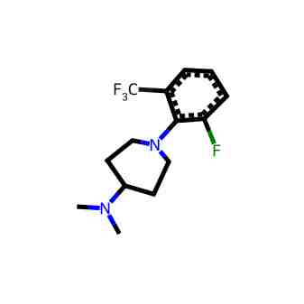 CN(C)C1CCN(c2c(F)cccc2C(F)(F)F)CC1